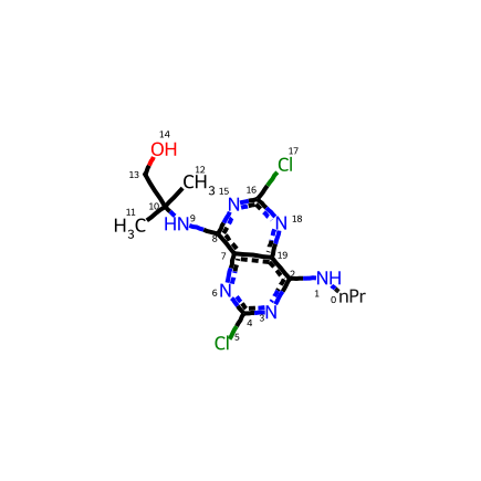 CCCNc1nc(Cl)nc2c(NC(C)(C)CO)nc(Cl)nc12